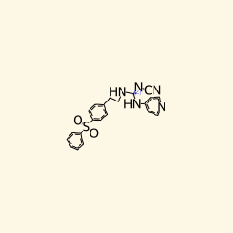 N#C/N=C(/NCCc1ccc(S(=O)(=O)c2ccccc2)cc1)Nc1ccncc1